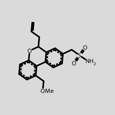 C=CCC1Oc2cccc(COC)c2-c2ccc(CS(N)(=O)=O)cc21